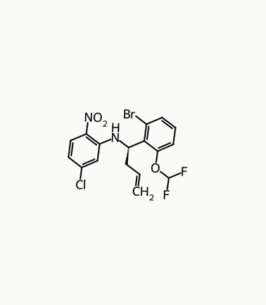 C=CC[C@@H](Nc1cc(Cl)ccc1[N+](=O)[O-])c1c(Br)cccc1OC(F)F